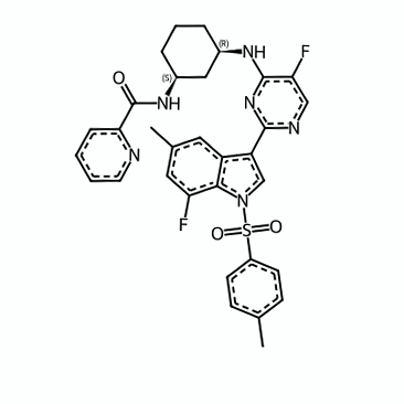 Cc1ccc(S(=O)(=O)n2cc(-c3ncc(F)c(N[C@@H]4CCC[C@H](NC(=O)c5ccccn5)C4)n3)c3cc(C)cc(F)c32)cc1